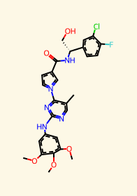 COc1cc(Nc2ncc(C)c(-n3ccc(C(=O)N[C@H](CO)c4ccc(F)c(Cl)c4)c3)n2)cc(OC)c1OC